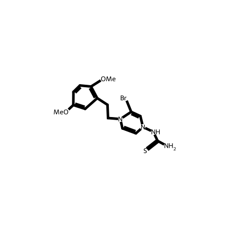 COc1ccc(OC)c(CCN2C=CN(NC(N)=S)C=C2Br)c1